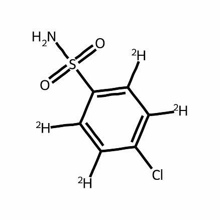 [2H]c1c([2H])c(S(N)(=O)=O)c([2H])c([2H])c1Cl